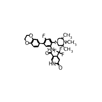 C[C@@H]1CN(c2cc(F)c(-c3ccc4c(c3)OCCO4)cc2NC(=O)c2c[nH]c(=O)cc2C(F)(F)F)C[C@H](C)N1C